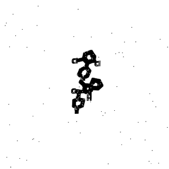 CN1CCN(C(=O)c2[nH]c3ccccc3c2CN2CCC(c3c(Cl)cccc3Cl)CC2)CC1